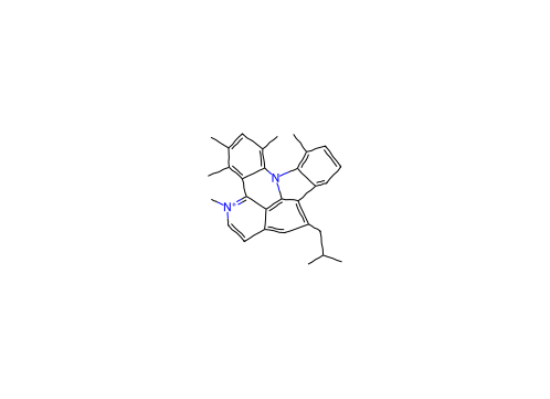 Cc1cc(C)c2c(c1C)c1c3c(cc[n+]1C)cc(CC(C)C)c1c4cccc(C)c4n2c13